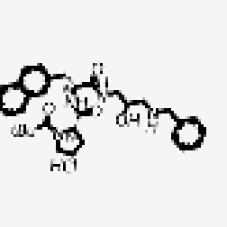 CC(C)(C)C(=O)N1CCC[C@H]1C(=O)N[C@H](Cc1ccc2ccccc2c1)C(=O)NCC(O)CNCc1ccccc1.Cl